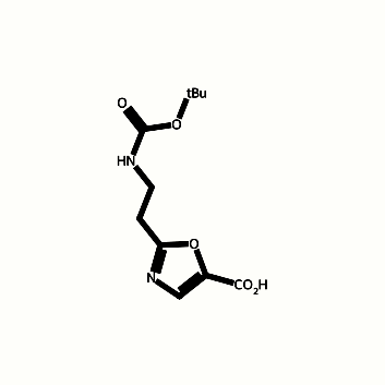 CC(C)(C)OC(=O)NCCc1ncc(C(=O)O)o1